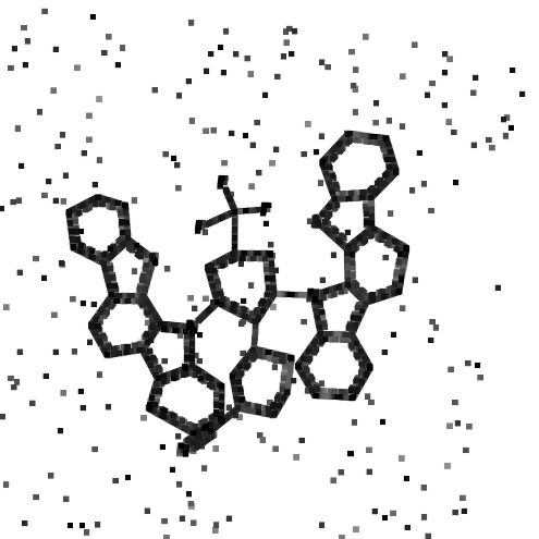 N#Cc1cccc(-c2c(-n3c4ccccc4c4ccc5c6ccccc6sc5c43)cc(C(F)(F)F)cc2-n2c3ccccc3c3ccc4c5ccccc5sc4c32)c1